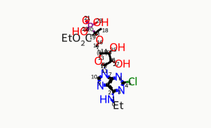 CCNc1nc(Cl)nc2c1ncn2[C@@H]1O[C@H](CO[C@](C)(C(=O)OCC)P(=O)(O)O)[C@@H](O)[C@H]1O